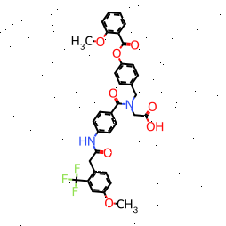 COc1ccc(CC(=O)Nc2ccc(C(=O)N(CC(=O)O)Cc3ccc(OC(=O)c4ccccc4OC)cc3)cc2)c(C(F)(F)F)c1